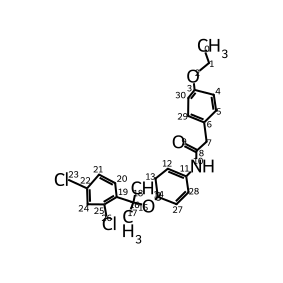 CCOc1ccc(CC(=O)NC2=CCC(OC(C)(C)c3ccc(Cl)cc3Cl)C=C2)cc1